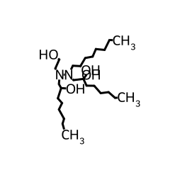 CCCCCCC(O)CN(CCO)N(CC(O)CCCCCC)CC(O)CCCCCC